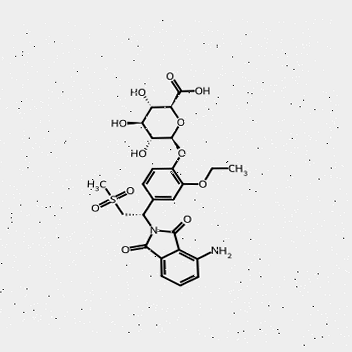 CCOc1cc([C@@H](CS(C)(=O)=O)N2C(=O)c3cccc(N)c3C2=O)ccc1O[C@@H]1O[C@H](C(=O)O)[C@@H](O)[C@H](O)[C@H]1O